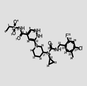 CCS(=O)(=O)NC(=O)C1=CNNC(N2CCCC(N(C(=O)NCc3cc(C)c(Cl)cc3F)C3CC3)C2)=C1